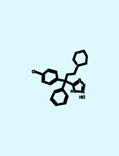 Cl.Clc1ccc(C(CCN2CCCCC2)(c2ccccc2)c2nnn[nH]2)cc1